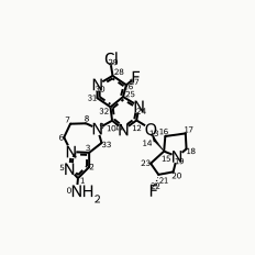 Nc1cc2n(n1)CCCN(c1nc(OC[C@@]34CCCN3C[C@H](F)C4)nc3c(F)c(Cl)ncc13)C2